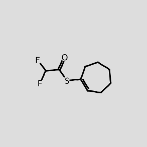 O=C(SC1=CCCCCC1)C(F)F